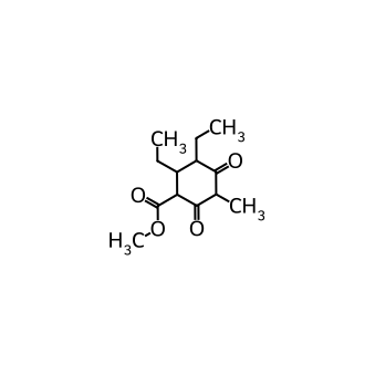 CCC1C(=O)C(C)C(=O)C(C(=O)OC)C1CC